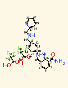 NC(=O)c1cccc2cn(-c3ccc(CNCc4ccccn4)cc3)nc12.O=C(O)C(F)(F)F.O=C(O)C(F)(F)F